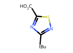 CC(C)(C)c1nsc(C(=O)O)n1